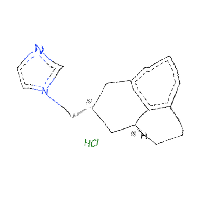 Cl.c1cc2c3c(c1)C[C@@H](Cn1ccnc1)C[C@@H]3CC2